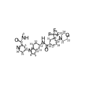 CNC(=O)c1cc(-n2ccc3cc(NC(=O)c4ccc(N5CCOCC5)c(C(F)(F)F)c4)ccc32)ccn1